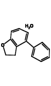 O.c1ccc(-c2cccc3c2CCO3)cc1